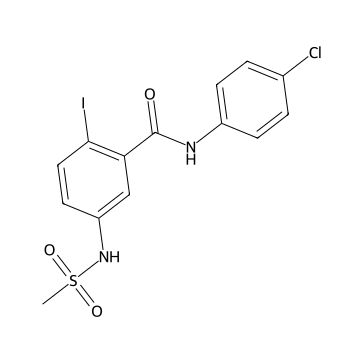 CS(=O)(=O)Nc1ccc(I)c(C(=O)Nc2ccc(Cl)cc2)c1